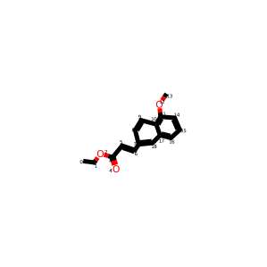 CCOC(=O)C=Cc1ccc2c(OC)cccc2c1